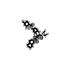 CCN(CC)C(=O)[C@H](Cc1ccc(NC(=O)c2ccc(C)cc2)cc1)C(=O)NS(=O)(=O)c1ccc2ccccc2c1